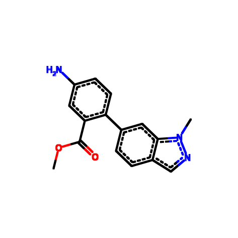 COC(=O)c1cc(N)ccc1-c1ccc2cnn(C)c2c1